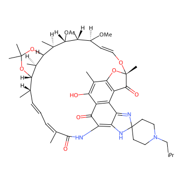 CO[C@H]1/C=C/O[C@@]2(C)Oc3c(C)c(O)c4c(c3C2=O)C2=NC3(CCN(CC(C)C)CC3)NC2=C(NC(=O)/C(C)=C\C=C\[C@H](C)[C@@H]2OC(C)(C)O[C@@H]([C@@H](C)[C@H](OC(C)=O)[C@@H]1C)[C@@H]2C)C4=O